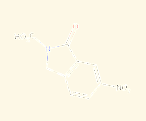 O=C(O)N1Cc2ccc([N+](=O)[O-])cc2C1=O